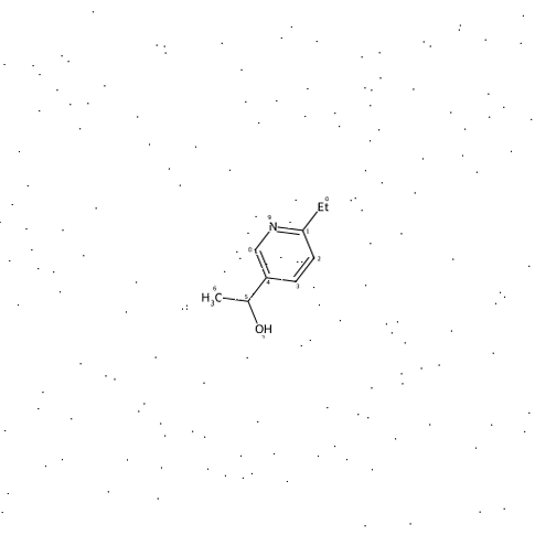 CCc1ccc(C(C)O)cn1